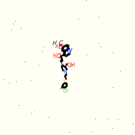 COc1ccc2nccc(C(O)CC[C@@H]3CCN(CCCSc4ccc(Cl)cc4)C[C@@H]3CO)c2c1